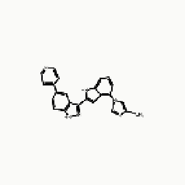 Cc1cn(-c2cccc3[nH]c(-c4n[nH]c5ccc(-c6ccncc6)cc45)cc23)cn1